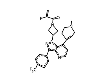 C=C(F)C(=O)N1CC(n2nc(-c3ccc(C(F)(F)F)cc3)c3nccc(C4=CCN(C)CC4)c32)C1